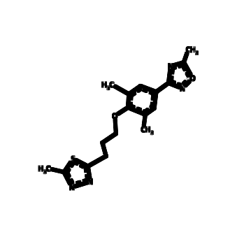 Cc1nc(-c2cc(C)c(OCCCc3nnc(C)s3)c(C)c2)no1